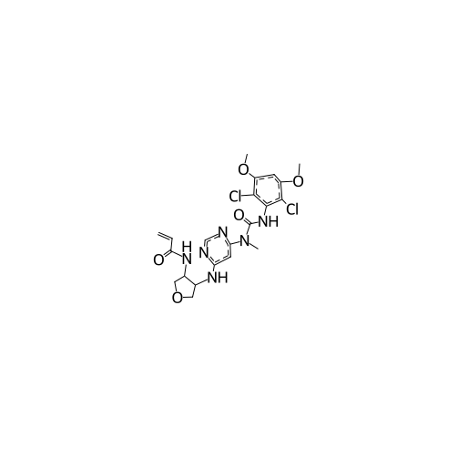 C=CC(=O)NC1COCC1Nc1cc(N(C)C(=O)Nc2c(Cl)c(OC)cc(OC)c2Cl)ncn1